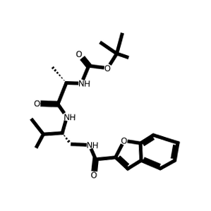 CC(C)[C@@H](CNC(=O)c1cc2ccccc2o1)NC(=O)[C@H](C)NC(=O)OC(C)(C)C